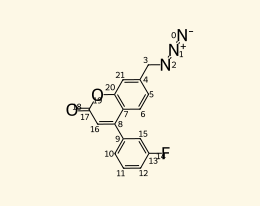 [N-]=[N+]=NCc1ccc2c(-c3cccc(F)c3)cc(=O)oc2c1